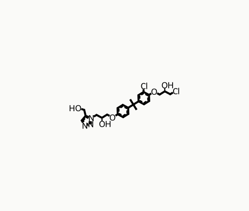 CC(C)(c1ccc(OC[C@@H](O)Cn2nncc2CO)cc1)c1ccc(OC[C@@H](O)CCl)c(Cl)c1